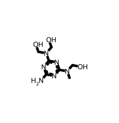 CN(CO)c1nc(N)nc(N(CO)CO)n1